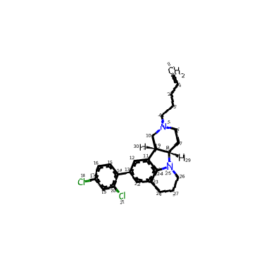 C=CCCCN1CC[C@H]2[C@@H](C1)c1cc(-c3ccc(Cl)cc3Cl)cc3c1N2CCC3